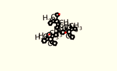 Cc1ccccc1-c1cc2c(c3c1oc1ccccc13)-c1ccc(N(c3ccc4c(c3)C(C)(C)c3c5c(c6c(oc7ccccc76)c3-4)-c3ccccc3C5(C)C)c3ccc4c(c3)C(C)(C)c3c5c(c6oc7ccccc7c6c3-4)-c3ccccc3C5(C)C)cc1C2(C)C